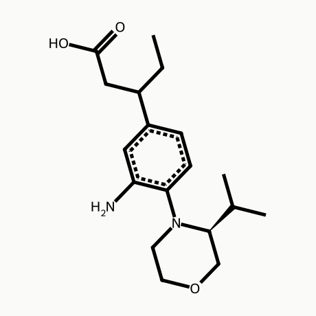 CCC(CC(=O)O)c1ccc(N2CCOC[C@@H]2C(C)C)c(N)c1